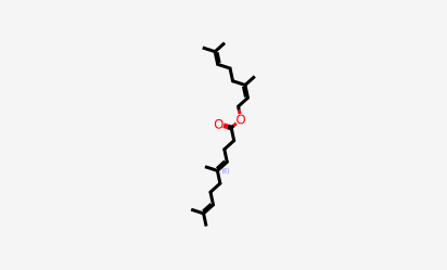 CC(C)=CCCC(C)=CCOC(=O)CC/C=C(\C)CCC=C(C)C